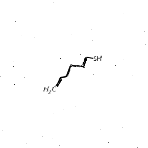 C=CCCC=CS